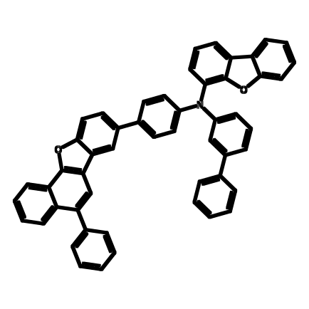 c1ccc(-c2cccc(N(c3ccc(-c4ccc5oc6c7ccccc7c(-c7ccccc7)cc6c5c4)cc3)c3cccc4c3oc3ccccc34)c2)cc1